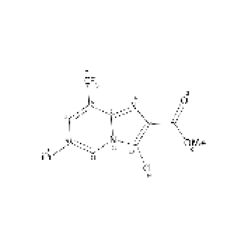 COC(=O)c1nc2c(C(F)(F)F)cc(C(C)C)cn2c1Cl